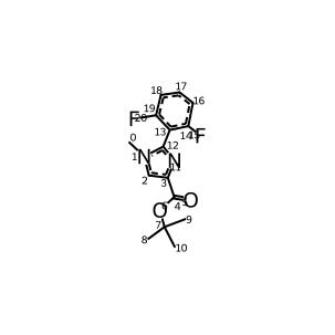 Cn1cc(C(=O)OC(C)(C)C)nc1-c1c(F)cccc1F